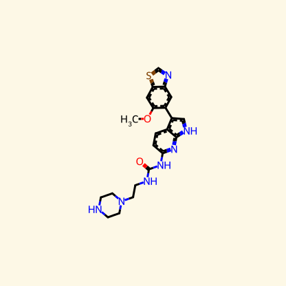 COc1cc2scnc2cc1-c1c[nH]c2nc(NC(=O)NCCN3CCNCC3)ccc12